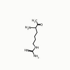 CC(=O)C(N)CCCCNC(=N)N